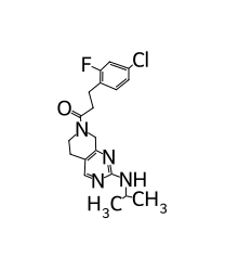 CC(C)Nc1ncc2c(n1)CN(C(=O)CCc1ccc(Cl)cc1F)CC2